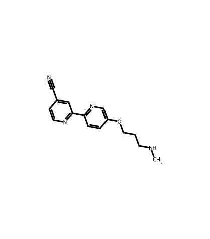 CNCCCOc1ccc(-c2cc(C#N)ccn2)nc1